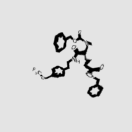 CN(C(=O)OCc1ccccc1)[C@@H](CCC(=O)OCc1ccccc1)C(=O)NCCc1ccc(OC(F)(F)F)cc1